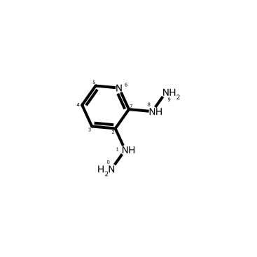 NNc1cccnc1NN